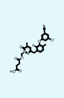 Cc1ccc(Cc2cc(C)c(=O)n(COC(=O)CCC(=O)O)n2)c(F)c1Oc1cc(Cl)cc(C#N)c1